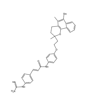 Cc1c2c(c3ccccc3c1O)OC(C)(CCOc1ccc(NC(=O)C=Cc3ccc(NC(=N)N)cc3)cc1)CC2